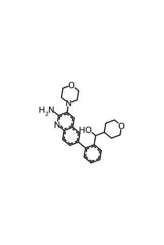 Nc1nc2ccc(-c3ccccc3C(O)C3CCOCC3)cc2cc1N1CCOCC1